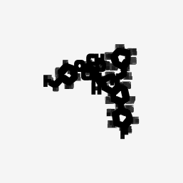 CC(C)(Oc1ccc(CF)cc1)C(=O)NC1Cc2cc(-c3ccc(F)cc3)ccc2N(Cc2ccccc2)C1